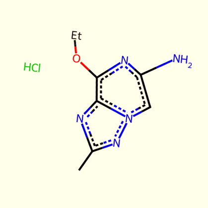 CCOc1nc(N)cn2nc(C)nc12.Cl